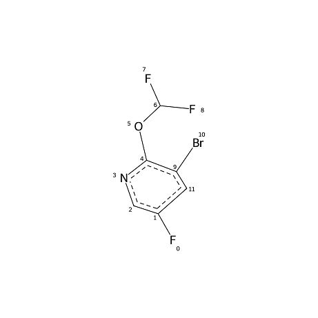 Fc1cnc(OC(F)F)c(Br)c1